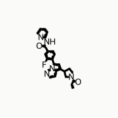 C=CC(=O)N1CCC(c2cc(-c3ccc(C(=O)Nc4ccccn4)cc3F)n3cnccc23)C1